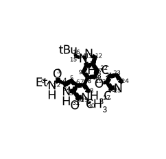 CCNC(=O)c1cc2c(-c3cc4c(cnn4CC(C)(C)C)cc3Oc3c(C)ccnc3C)cn(C)c(=O)c2[nH]1